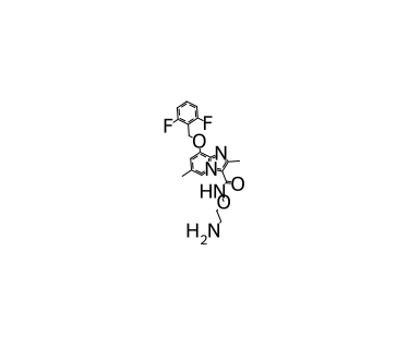 Cc1cc(OCc2c(F)cccc2F)c2nc(C)c(C(=O)NOCCN)n2c1